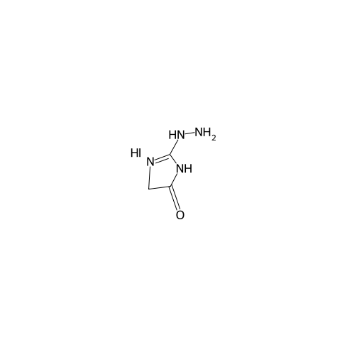 I.NNC1=NCC(=O)N1